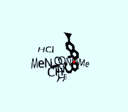 CNC(C)C(=O)NC1CCc2ccccc2N(Cc2c(OC)ccc3cc(C4CC4)ccc23)C1=O.Cl